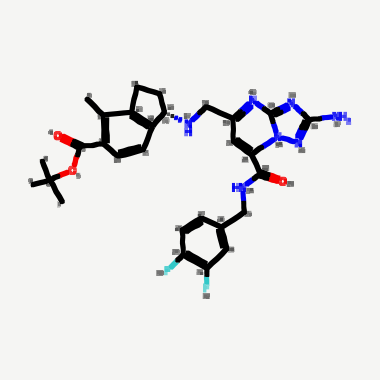 Cc1c(C(=O)OC(C)(C)C)ccc2c1CC[C@@H]2NCc1cc(C(=O)NCc2ccc(F)c(F)c2)n2nc(N)nc2n1